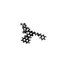 C=CC(=O)N1CCN(c2nc(OCCOCC3CCCCC3)nc3c2CCN(c2cccc4cccc(C)c24)C3)C[C@@H]1CC#N